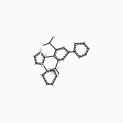 CC(C)c1cc(-c2ccccc2)cc(C(C)C)c1-c1nccn1-c1ccccc1